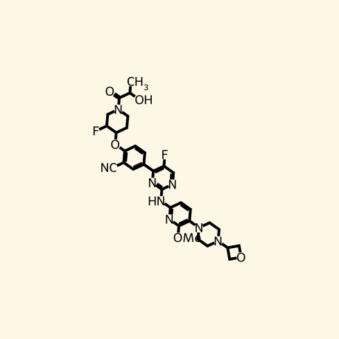 COc1nc(Nc2ncc(F)c(-c3ccc(OC4CCN(C(=O)C(C)O)CC4F)c(C#N)c3)n2)ccc1N1CCN(C2COC2)CC1